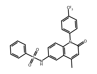 Cc1cc(=O)n(-c2ccc(C(F)(F)F)cc2)c2ccc(NS(=O)(=O)c3ccccc3)cc12